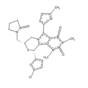 Cc1csc(-c2c3c(=O)n(C)c(=O)n(C)c3c3n2C[C@@H](CN2CCCC2=O)S[C@H]3c2ccc(Cl)o2)n1